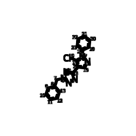 Clc1c(-c2nnn(Cc3ccccc3)n2)cnn1-c1ccccc1